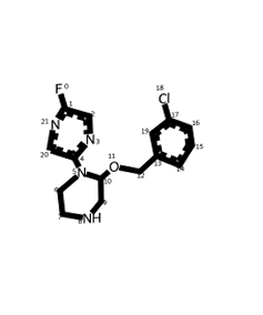 Fc1cnc(N2CCNCC2OCc2cccc(Cl)c2)cn1